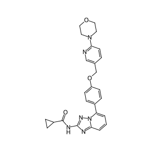 O=C(Nc1nc2cccc(-c3ccc(OCc4ccc(N5CCOCC5)nc4)cc3)n2n1)C1CC1